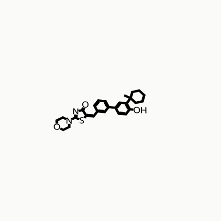 CC1(c2cc(-c3cccc(C=C4SC(N5CCOCC5)=NC4=O)c3)ccc2O)CCCCC1